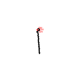 CCCCCCCCCCCCCCCCCCCCCCC(C)C1OC[C@@H](O)[C@H](O)[C@H]1O